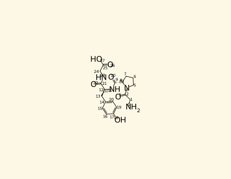 NCC(=O)N1CCC[C@H]1C(=O)N[C@@H](Cc1ccc(O)cc1)C(=O)NCC(=O)O